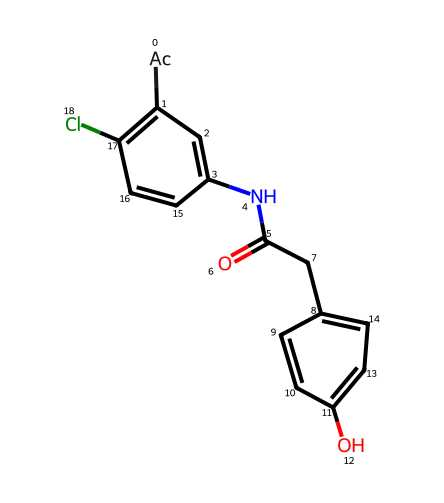 CC(=O)c1cc(NC(=O)Cc2ccc(O)cc2)ccc1Cl